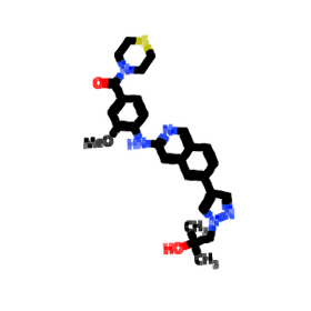 COc1cc(C(=O)N2CCSCC2)ccc1Nc1cc2cc(-c3cnn(CC(C)(C)O)c3)ccc2cn1